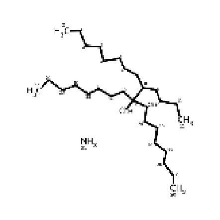 CCCCCCCCC(CCCC)C(Cl)(CCCCCCCC)CCCCCCCC.N